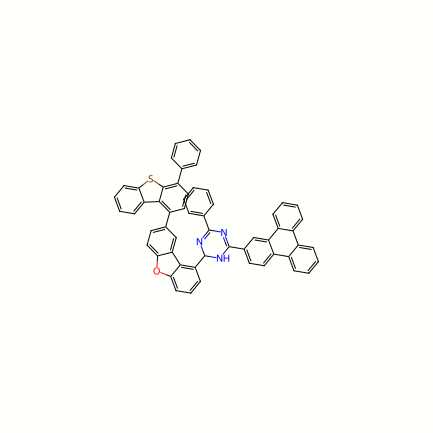 c1ccc(C2=NC(c3cccc4oc5ccc(-c6ccc(-c7ccccc7)c7sc8ccccc8c67)cc5c34)NC(c3ccc4c5ccccc5c5ccccc5c4c3)=N2)cc1